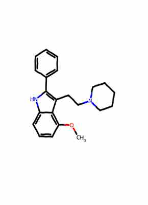 COc1cccc2[nH]c(-c3ccccc3)c(CCN3CCCCC3)c12